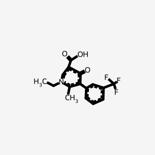 CCn1cc(C(=O)O)c(=O)c(-c2cccc(C(F)(F)F)c2)c1C